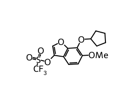 COc1ccc2c(OS(=O)(=O)C(F)(F)F)coc2c1OC1CCCC1